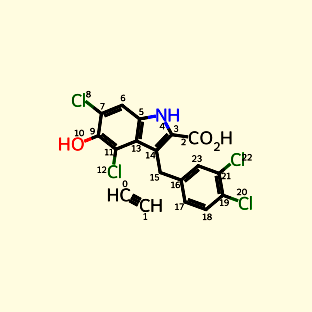 C#C.O=C(O)c1[nH]c2cc(Cl)c(O)c(Cl)c2c1Cc1ccc(Cl)c(Cl)c1